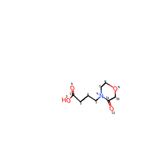 O=C(O)CCCN1CCOCC1=O